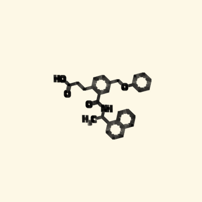 CC(NC(=O)c1cc(COc2ccccc2)ccc1CCC(=O)O)c1cccc2ccccc12